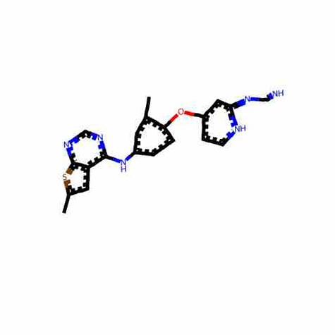 Cc1cc2c(Nc3ccc(Oc4cc[nH]/c(=N\C=N)c4)c(C)c3)ncnc2s1